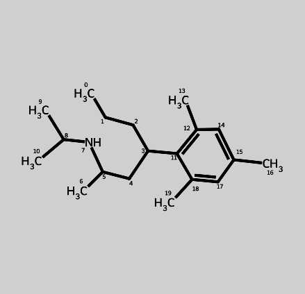 CCCC(CC(C)NC(C)C)c1c(C)cc(C)cc1C